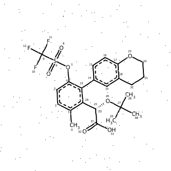 Cc1ccc(OS(=O)(=O)C(F)(F)F)c(-c2ccc3c(c2)CCCO3)c1[C@H](OC(C)(C)C)C(=O)O